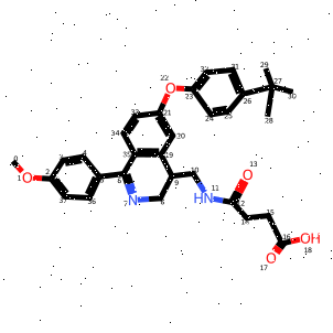 COc1ccc(C2=NCC(CNC(=O)CCC(=O)O)c3cc(Oc4ccc(C(C)(C)C)cc4)ccc32)cc1